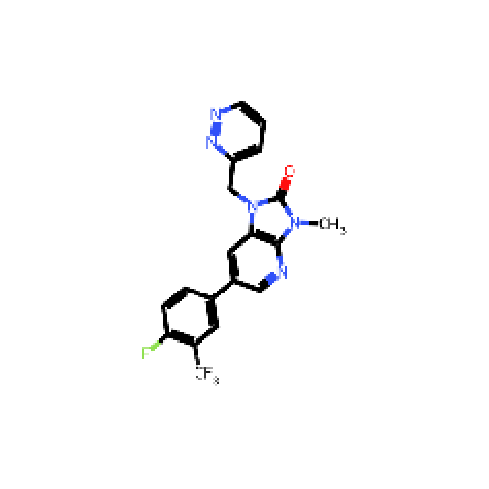 Cn1c(=O)n(Cc2cccnn2)c2cc(-c3ccc(F)c(C(F)(F)F)c3)cnc21